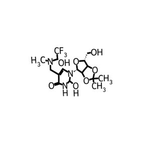 CN(CC1=CN([C@@H]2O[C@H](CO)C3OC(C)(C)OC32)C(O)NC1=O)C(O)C(F)(F)F